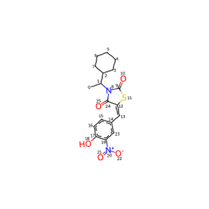 CC(C1CCCCC1)N1C(=O)SC(=Cc2ccc(O)c([N+](=O)[O-])c2)C1=O